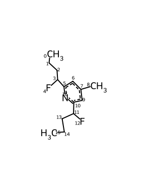 CCCC(F)c1cc(C)cc(C(F)CCC)n1